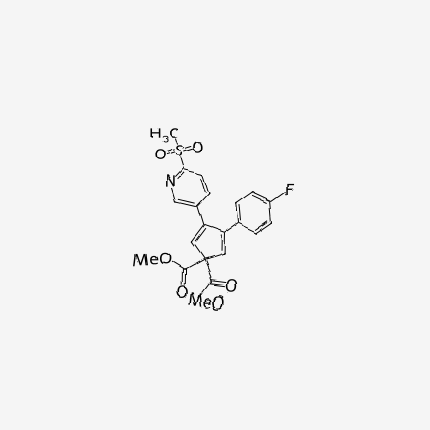 COC(=O)C1(C(=O)OC)C=C(c2ccc(F)cc2)C(c2ccc(S(C)(=O)=O)nc2)=C1